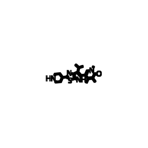 Cc1c(-c2[nH]c3sc(C4CCNCC4)nc3c2C(C)C)cn(C)c(=O)c1C